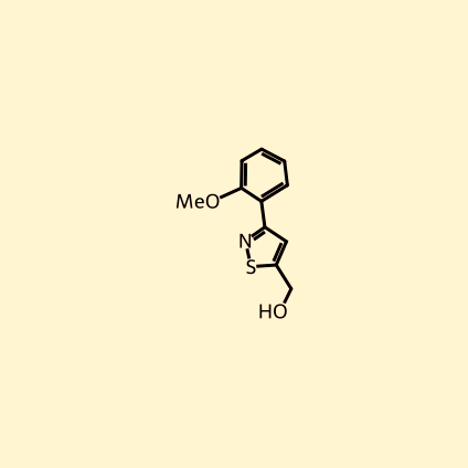 COc1ccccc1-c1cc(CO)sn1